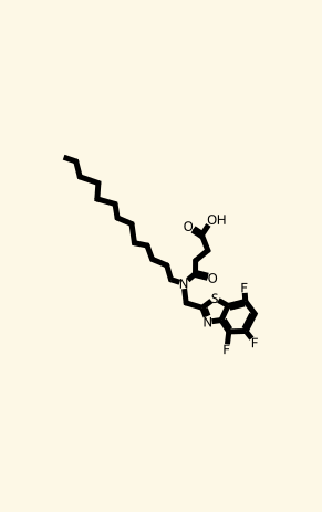 CCCCCCCCCCCCCN(Cc1nc2c(F)c(F)cc(F)c2s1)C(=O)CCC(=O)O